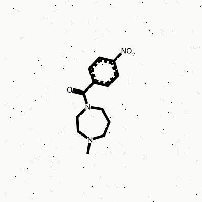 CN1CCCN(C(=O)c2ccc([N+](=O)[O-])cc2)CC1